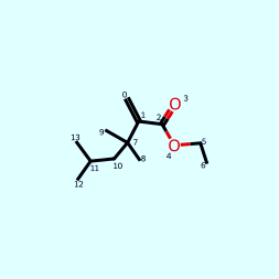 C=C(C(=O)OCC)C(C)(C)CC(C)C